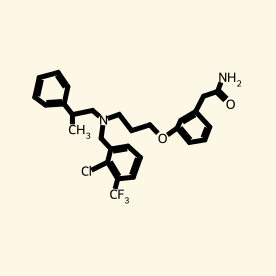 CC(CN(CCCOc1cccc(CC(N)=O)c1)Cc1cccc(C(F)(F)F)c1Cl)c1ccccc1